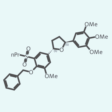 CCCS(=O)(=O)c1cc([C@@H]2CC[C@@H](c3cc(OC)c(OC)c(OC)c3)O2)cc(OC)c1OCc1ccccc1